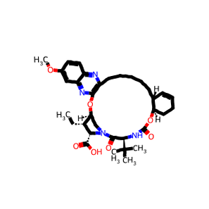 CC[C@@H]1[C@@H]2CN(C(=O)[C@H](C(C)(C)C)NC(=O)O[C@@H]3CCC=C[C@H]3CCCCCc3nc4ccc(OC)cc4nc3O2)[C@@H]1C(=O)O